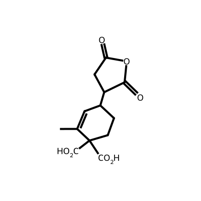 CC1=CC(C2CC(=O)OC2=O)CCC1(C(=O)O)C(=O)O